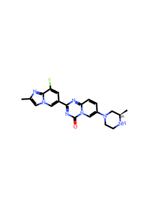 Cc1cn2cc(-c3nc(=O)n4cc(N5CCN[C@H](C)C5)ccc4n3)cc(F)c2n1